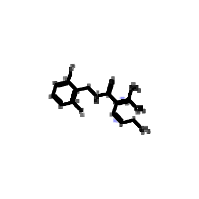 CC/C=C\C(C(=O)NCc1c(F)cccc1F)=C(/C)N